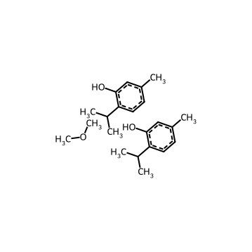 COC.Cc1ccc(C(C)C)c(O)c1.Cc1ccc(C(C)C)c(O)c1